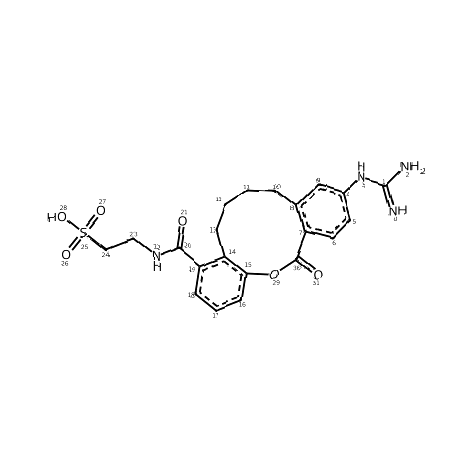 N=C(N)Nc1ccc2c(c1)CCCCc1c(cccc1C(=O)NCCS(=O)(=O)O)OC2=O